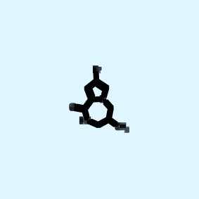 CC1CNC(=O)c2cc(Br)cn2C1